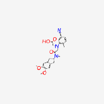 COc1cc2c(cc1OC)CC(N(C)C(=O)CN(CC(=O)O)c1cc(C#N)ccc1C)C2